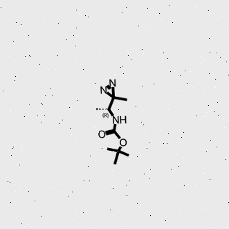 C[C@@H](NC(=O)OC(C)(C)C)C1(C)N=N1